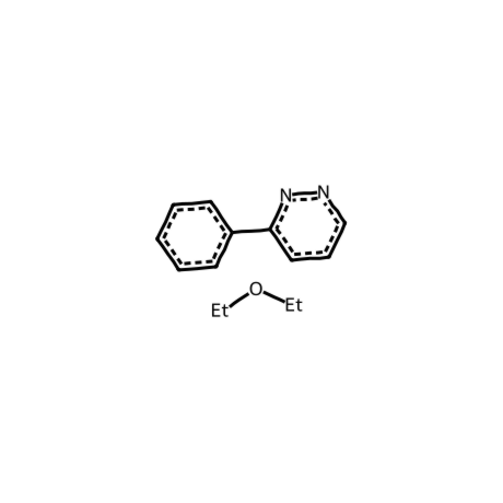 CCOCC.c1ccc(-c2cccnn2)cc1